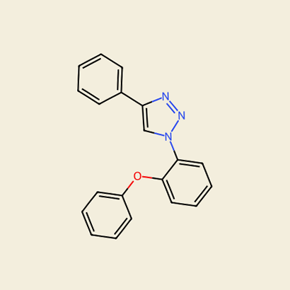 c1ccc(Oc2ccccc2-n2cc(-c3ccccc3)nn2)cc1